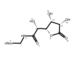 CCCCCCCCCCNC(=O)[C@H](O)[C@H]1OC(=O)[C@@H](O)[C@H]1O